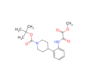 COC(=O)C(=O)Nc1ccccc1C1CCN(C(=O)OC(C)(C)C)CC1